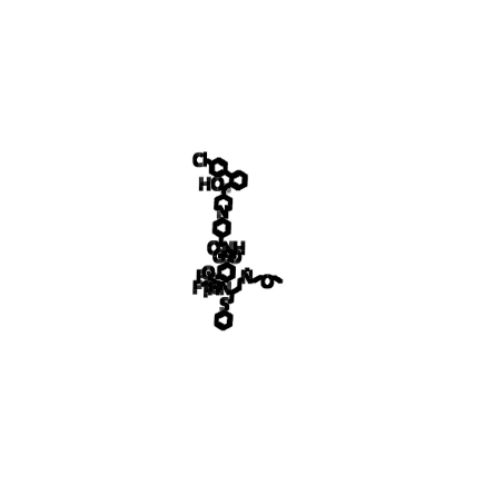 CCOCCN(C)CCC(CSc1ccccc1)Nc1ccc(S(=O)(=O)NC(=O)c2ccc(N3CCC([C@@H](O)c4ccccc4-c4ccc(Cl)cc4)CC3)cc2)cc1S(=O)(=O)C(F)(F)F